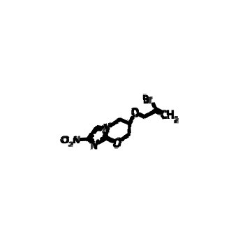 C=C(Br)COC1COc2nc([N+](=O)[O-])cn2C1